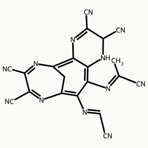 C/C(C#N)=N\C1=C2NC(C#N)C(C#N)=NC2=C2CC(=C1/N=C/C#N)N=C(C#N)C(C#N)=N2